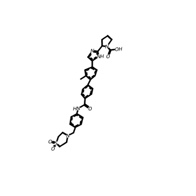 Cc1cc(-c2cnc(C3CCCN3C(=O)O)[nH]2)ccc1-c1ccc(C(=O)Nc2ccc(CN3CCS(=O)(=O)CC3)cc2)cc1